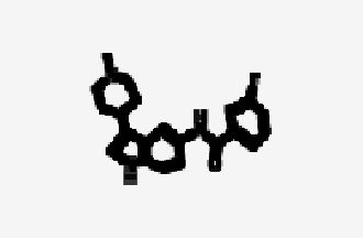 CN1CCC(c2c[nH]c3ccc(NC(=O)c4cccc(F)c4)cc23)CC1